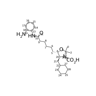 CC1(C)O[C@@H](CCCCCC(=O)Nc2ccccc2N)[C@H](CC2CCCCC2)N1C(=O)O